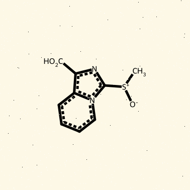 C[S+]([O-])c1nc(C(=O)O)c2ccccn12